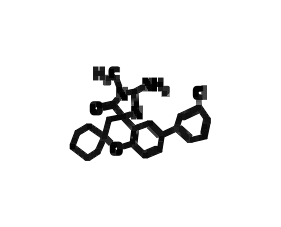 CN1C(=O)C2(CC3(CCCCC3)Oc3ccc(-c4cccc(Cl)c4)cc32)N=C1N